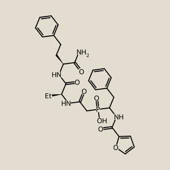 CC[C@H](NC(=O)CP(=O)(O)C(Cc1ccccc1)NC(=O)c1ccco1)C(=O)N[C@@H](CCc1ccccc1)C(N)=O